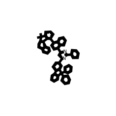 CC1(C)c2cccc(-c3ccc(-c4cc(-c5ccc6c(c5)C(c5ccccc5)(c5ccccc5)c5ccccc5-6)nc(-c5ccccc5)n4)c4ccccc34)c2-c2c1ccc1ccccc21